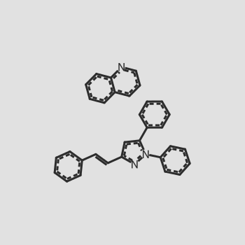 C(=Cc1cc(-c2ccccc2)n(-c2ccccc2)n1)c1ccccc1.c1ccc2ncccc2c1